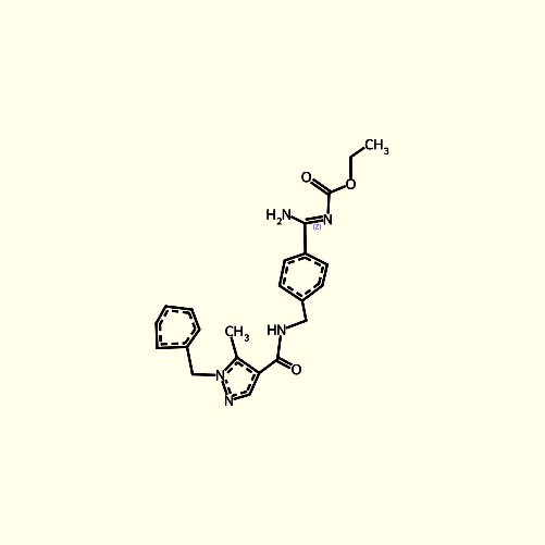 CCOC(=O)/N=C(\N)c1ccc(CNC(=O)c2cnn(Cc3ccccc3)c2C)cc1